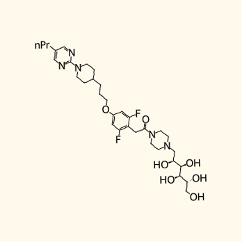 CCCc1cnc(N2CCC(CCCOc3cc(F)c(CC(=O)N4CCN(C[C@H](O)[C@@H](O)[C@H](O)[C@H](O)CO)CC4)c(F)c3)CC2)nc1